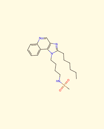 CCCCCCc1nc2cnc3ccccc3c2n1CCCCNS(C)(=O)=O